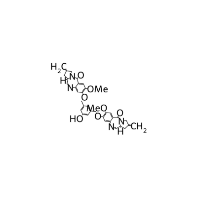 C=C1C[C@H]2C=Nc3cc(OCc4cc(O)cc(COc5cc6c(cc5OC)C(=O)N5CC(=C)C[C@H]5C=N6)c4)c(OC)cc3C(=O)N2C1